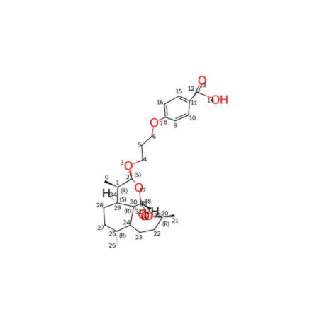 C[C@H]1[C@@H](OCCCOc2ccc(C(=O)O)cc2)O[C@@H]2O[C@@]3(C)CCC4[C@H](C)CC[C@@H]1[C@]42OO3